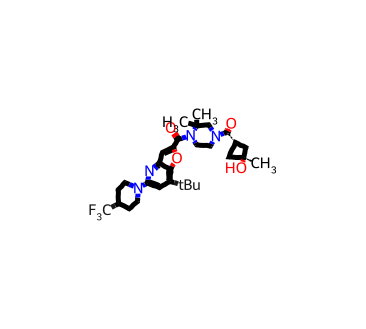 CC(C)(C)c1cc(N2CCC(C(F)(F)F)CC2)nc2cc(C(=O)N3CCN(C(=O)[C@H]4C[C@](C)(O)C4)CC3(C)C)oc12